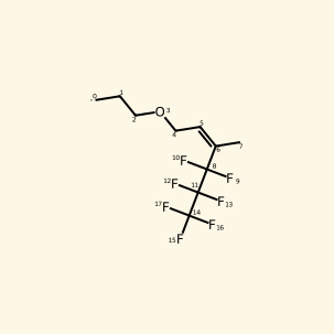 [CH2]CCOCC=C(C)C(F)(F)C(F)(F)C(F)(F)F